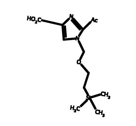 CC(=O)c1nc(C(=O)O)cn1COCC[Si](C)(C)C